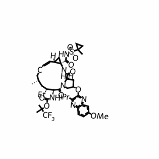 CC[C@@H]1C[C@H](C)CC/C=C\[C@@H]2C[C@@]2(C(=O)NS(=O)(=O)C2(C)CC2)NC(=O)[C@@H]2C[C@@H](Oc3nc4cc(OC)ccc4nc3C(C)C)CN2C(=O)[C@H]1NC(=O)OC(C)(C)C(F)(F)F